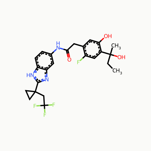 CCC(C)(O)c1cc(F)c(CC(=O)Nc2ccc3[nH]c(C4(CC(F)(F)F)CC4)nc3c2)cc1O